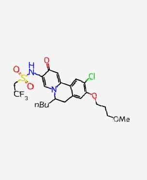 CCCCC1Cc2cc(OCCCOC)c(Cl)cc2-c2cc(=O)c(NS(=O)(=O)CC(F)(F)F)cn21